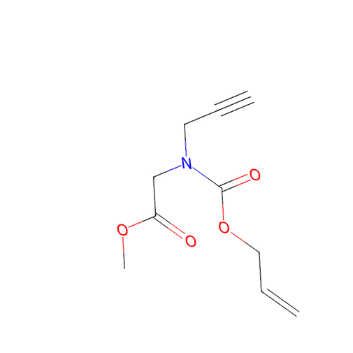 C#CCN(CC(=O)OC)C(=O)OCC=C